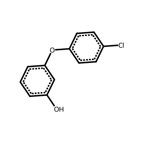 Oc1cccc(Oc2ccc(Cl)cc2)c1